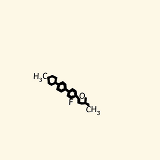 CCC1CC=C(c2ccc(-c3ccc(C4CCC(C)CC4)cc3)cc2F)OC1